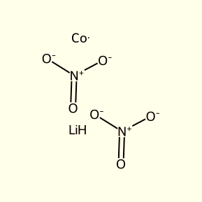 O=[N+]([O-])[O-].O=[N+]([O-])[O-].[Co].[LiH]